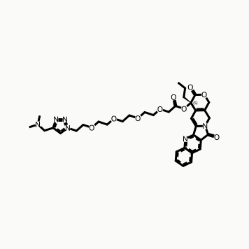 CCC[C@@]1(OC(=O)COCCOCCOCCOCCn2cc(CN(C)C)nn2)C(=O)OCC2=C1C=C1c3nc4ccccc4cc3C(=O)N1C2